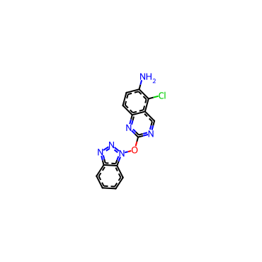 Nc1ccc2nc(On3nnc4ccccc43)ncc2c1Cl